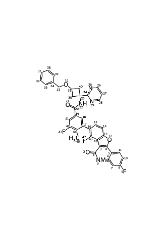 CNC(=O)c1c(-c2ccc(F)cc2)oc2ccc(-c3cc(C(=O)NC4(c5ncccn5)CC(OCc5ccccc5)C4)cc(F)c3C)c(F)c12